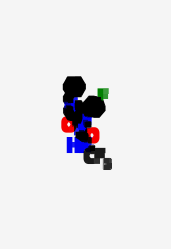 O=C(CN1CN(c2ccc(F)cc2)C2(CCN(Cc3ccccc3)CC2)C1=O)NCC(F)(F)F